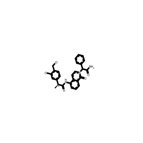 C[C@H](C(=O)Nc1cccc2c(=O)n(C(C(N)=O)c3ccccc3)ccc12)c1ccc(CCl)c(Cl)c1